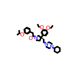 CCOc1ccc([C@]2(CCN3CCN(C4CCCCC4)CC3)CCN(C(=O)Cc3cccc(OC(C)C)c3)C2)cc1OCC